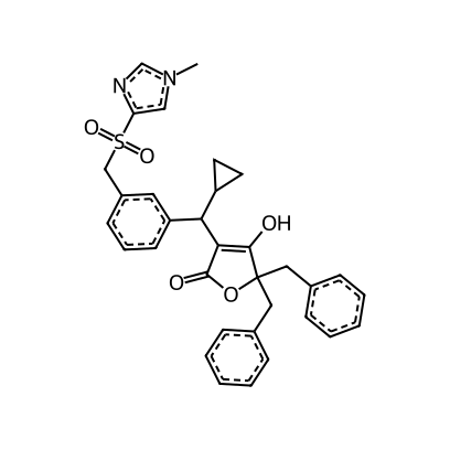 Cn1cnc(S(=O)(=O)Cc2cccc(C(C3=C(O)C(Cc4ccccc4)(Cc4ccccc4)OC3=O)C3CC3)c2)c1